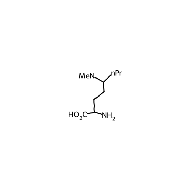 CCCC(CCC(N)C(=O)O)NC